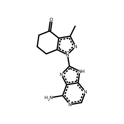 Cc1nn(-c2nc3c(N)ncnc3[nH]2)c2c1C(=O)CCC2